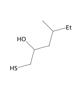 CCC(C)CC(O)CS